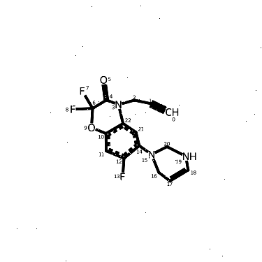 C#CCN1C(=O)C(F)(F)Oc2cc(F)c(N3CC=CNC3)cc21